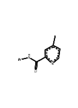 Cc1ccnc(C(=O)NC(C)C)c1